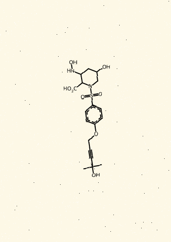 CC(C)(O)C#CCOc1ccc(S(=O)(=O)N2CC(O)CC(NO)C2C(=O)O)cc1